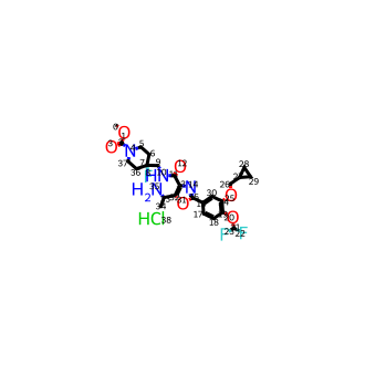 COC(=O)N1CCC(F)(CNC(=O)c2nc(-c3ccc(OC(F)F)c(OCC4CC4)c3)oc2C(C)N)CC1.Cl